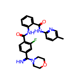 Cc1ccc(NC(=O)c2ccccc2NC(=O)c2ccc(C(=N)N3CCOCC3)cc2F)nc1